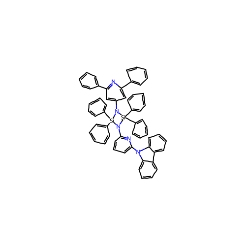 c1ccc(-c2cc(N3[Si](c4ccccc4)(c4ccccc4)N(c4cccc(-n5c6ccccc6c6ccccc65)n4)[Si]3(c3ccccc3)c3ccccc3)cc(-c3ccccc3)n2)cc1